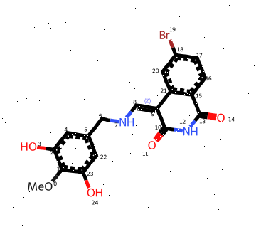 COc1c(O)cc(CN/C=C2\C(=O)NC(=O)c3ccc(Br)cc32)cc1O